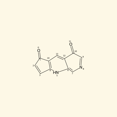 O=C1C=Cc2[nH]c3cncc(=O)c-3cc21